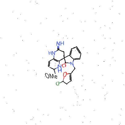 COC1C=CC2=C(N1)C1(CC(=N)N2)C(=O)N(CC2=CCC(Cl)O2)c2ccccc21